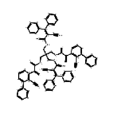 C=C(C(=O)OCC(COC(=O)C(=C)c1cccc(-c2ccccc2)c1C#N)(COC(=O)C(C#N)=C(c1ccccc1)c1ccccc1)COC(=O)C(C#N)=C(c1ccccc1)c1ccccc1)c1cccc(-c2ccccc2)c1C#N